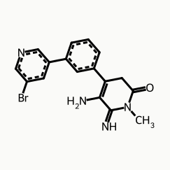 CN1C(=N)C(N)=C(c2cccc(-c3cncc(Br)c3)c2)CC1=O